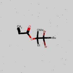 C=CC(=O)OC(CC)(OC)C(Br)(Br)CCCC